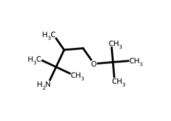 CC(COC(C)(C)C)C(C)(C)N